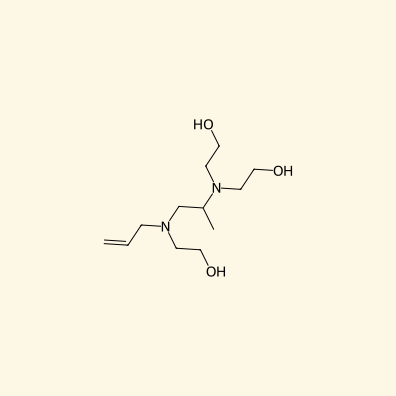 C=CCN(CCO)CC(C)N(CCO)CCO